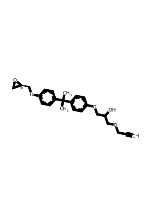 C#CCOCC(O)COc1ccc(C(C)(C)c2ccc(OC[C@H]3CO3)cc2)cc1